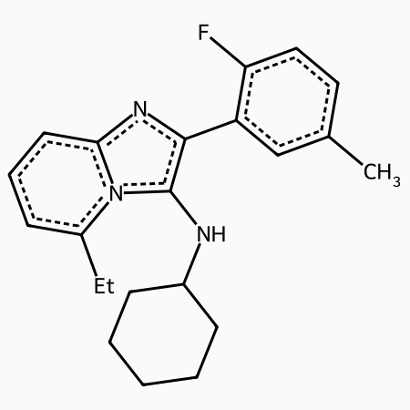 CCc1cccc2nc(-c3cc(C)ccc3F)c(NC3CCCCC3)n12